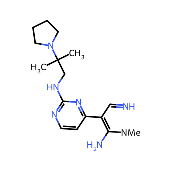 CN/C(N)=C(\C=N)c1ccnc(NCC(C)(C)N2CCCC2)n1